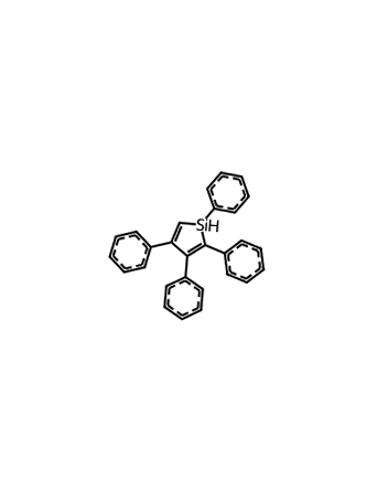 C1=C(c2ccccc2)C(c2ccccc2)=C(c2ccccc2)[SiH]1c1ccccc1